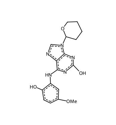 COc1ccc(O)c(Nc2nc(O)nc3c2ncn3C2CCCCO2)c1